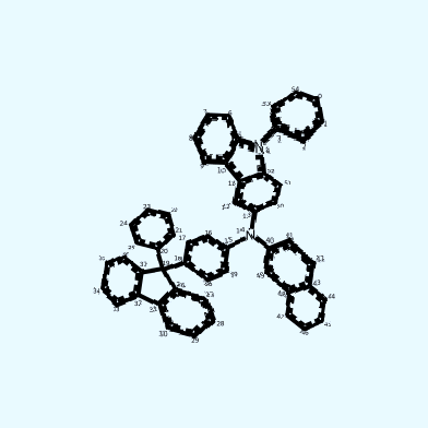 c1ccc(-n2c3ccccc3c3cc(N(c4ccc(C5(c6ccccc6)c6ccccc6-c6ccccc65)cc4)c4ccc5ccccc5c4)ccc32)cc1